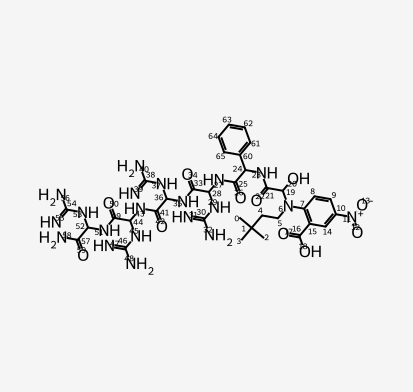 CC(C)(C)CCN(c1ccc([N+](=O)[O-])cc1C(=O)O)C(O)C(=O)NC(C(=O)NC(NC(=N)N)C(=O)NC(NC(=N)N)C(=O)NC(NC(=N)N)C(=O)NC(NC(=N)N)C(N)=O)c1ccccc1